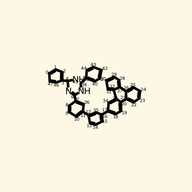 c1ccc(C2N=C(c3cccc(-c4cccc(-c5ccc6c7ccccc7c7ccccc7c6c5)c4)c3)NC(c3ccccc3)N2)cc1